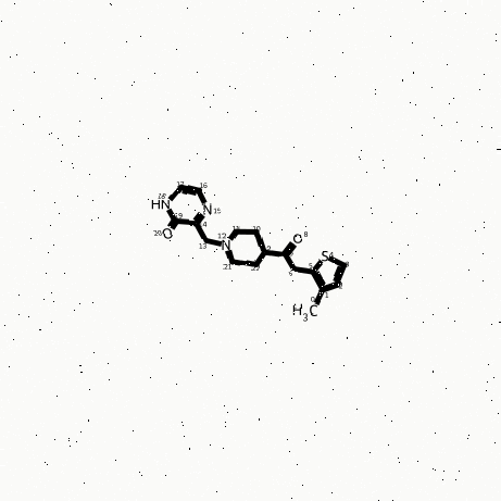 Cc1ccsc1CC(=O)C1CCN(Cc2ncc[nH]c2=O)CC1